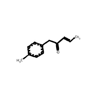 C/C=C/C(=O)Cc1ccc(C)cc1